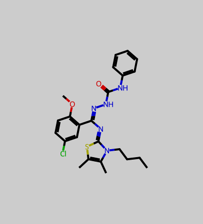 CCCCn1c(C)c(C)sc1=NC(=NNC(=O)Nc1ccccc1)c1cc(Cl)ccc1OC